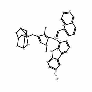 CC1=[C](/[Zr+2](=[CH]/c2cccc3ccccc23)[c]2cccc3c2Cc2ccccc2-3)C(C)C=C1CC12CC3CC(CC(C3)C1)C2.[Cl-].[Cl-]